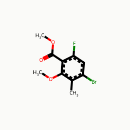 COC(=O)c1c(F)cc(Br)c(C)c1OC